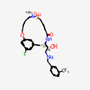 CCCN1CCCCOc2cc(F)cc(c2)C[C@@H]([C@H](O)CNCc2cccc(C(F)(F)F)c2)NC(=O)CCCS1(=O)=O